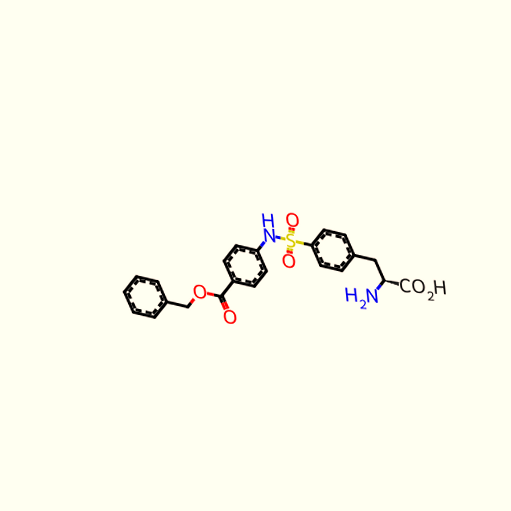 N[C@@H](Cc1ccc(S(=O)(=O)Nc2ccc(C(=O)OCc3ccccc3)cc2)cc1)C(=O)O